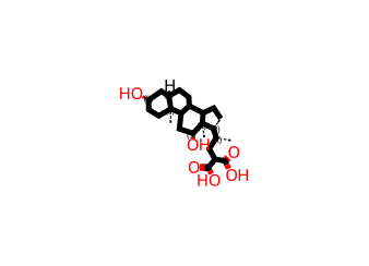 C[C@H](CC(C(=O)O)C(=O)O)[C@H]1CCC2C3CC[C@@H]4C[C@H](O)CC[C@]4(C)C3C[C@H](O)[C@@]21C